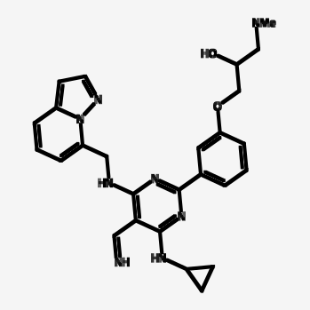 CNCC(O)COc1cccc(-c2nc(NCc3cccc4ccnn34)c(C=N)c(NC3CC3)n2)c1